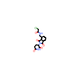 O=C(CCl)NCc1cccc2c1C(=O)N(C1CCC(=O)NC1=O)C2=O